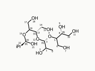 CC(O)[C@@H](OC(CO)[C@H](O)CO)O[C@@H](CO)C(CO)O[C@@H](O)C(C)C